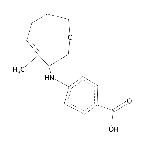 C/C1=C/CCCCCC1Nc1ccc(C(=O)O)cc1